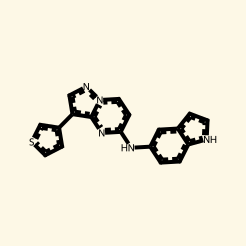 c1cc2cc(Nc3ccn4ncc(-c5ccsc5)c4n3)ccc2[nH]1